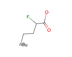 CCCCCCC(F)C([O])=O